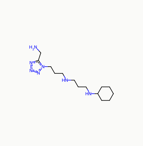 NCc1nnnn1CCCNCCCNC1CCCCC1